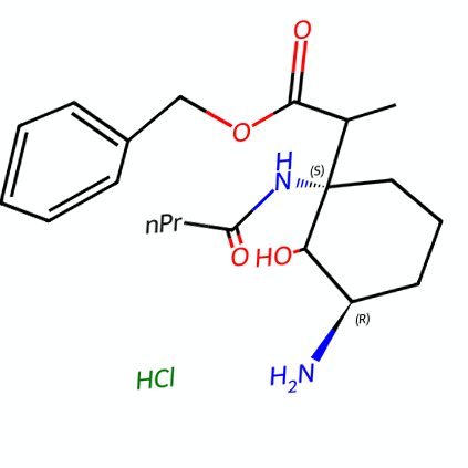 CCCC(=O)N[C@]1(C(C)C(=O)OCc2ccccc2)CCC[C@@H](N)C1O.Cl